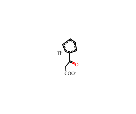 O=C([O-])CC(=O)c1ccccc1.[Tl+]